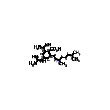 CC(C)=CCC/C(C)=C\Cc1cc(NC(=N)N)cc(C(=N)N)c1C(=O)O